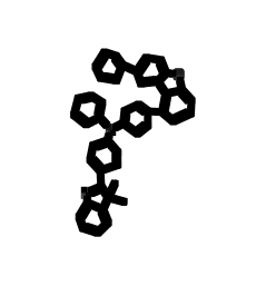 CC1(C)C(c2ccc(N(c3ccccc3)c3ccc(-c4cccc5oc6ccc(-c7ccccc7)cc6c45)cc3)cc2)=Nc2ccccc21